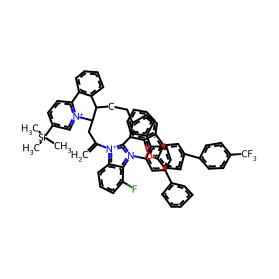 C=C1CC2C(CCc3ccc4c(oc5ccc(-c6ccc(C(F)(F)F)cc6)cc54)c3-c3n(-c4cc(-c5ccccc5)ccc4-c4ccccc4)c4c(F)cccc4[n+]31)c1ccccc1-c1ccc([Si](C)(C)C)c[n+]12